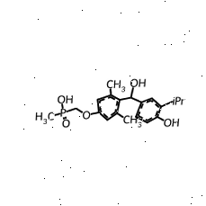 Cc1cc(OCP(C)(=O)O)cc(C)c1C(O)c1ccc(O)c(C(C)C)c1